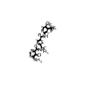 C[C@H](NC(=O)c1ncnc(N)c1Cl)c1ncc(C(=O)Nc2cc(C(F)(F)F)c(Cl)cn2)s1